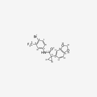 O=C(Nc1ccc(Br)c(C(F)(F)F)c1)C1(c2ccc3c(c2)OCO3)CC1